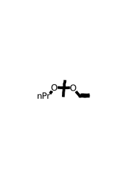 C=COC(C)(C)OC[CH]C